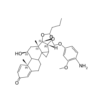 CCCC1O[C@@H]2C3CC34C3CCC5=CC(=O)C=C[C@]5(C)C3[C@@H](O)C[C@]4(C)[C@]2(C(=O)COc2ccc(N)c(OC)c2)O1